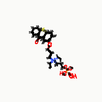 CC[N+](CC)(CCCOc1ccc2sc3ccccc3c(=O)c2c1)CCCOP(=O)(O)O